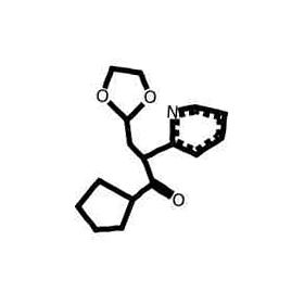 O=C(C1CCCC1)C(CC1OCCO1)c1ccccn1